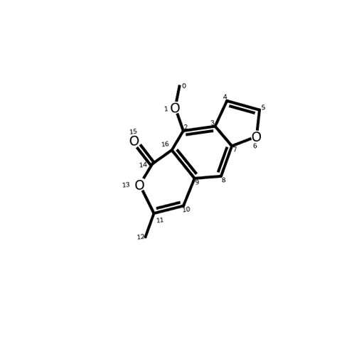 COc1c2ccoc2cc2cc(C)oc(=O)c12